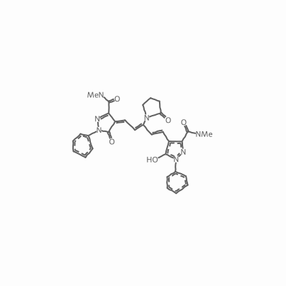 CNC(=O)C1=NN(c2ccccc2)C(=O)/C1=C\C=C(C=Cc1c(C(=O)NC)nn(-c2ccccc2)c1O)N1CCCC1=O